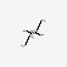 CCCCCCCCSC(C)(CCCO)/N=N/C(C)(CCCO)SCCCCCCCC